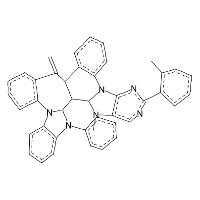 C=C1c2ccccc2N2c3ccccc3N(c3ccccc3)C2C2C1c1ccccc1N1c3nc(-c4ccccc4C)ncc3N(C)C21